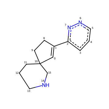 C1=C(c2cccnn2)CCC12CCCNC2